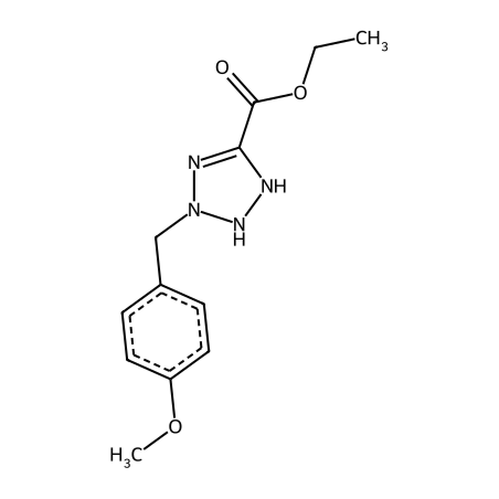 CCOC(=O)C1=NN(Cc2ccc(OC)cc2)NN1